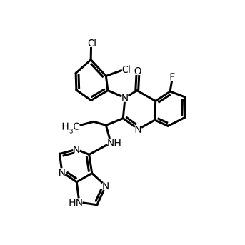 CCC(Nc1ncnc2[nH]cnc12)c1nc2cccc(F)c2c(=O)n1-c1cccc(Cl)c1Cl